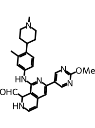 COc1ncc(-c2cc3c(c(Nc4ccc(C5CCN(C)CC5)c(C)c4)n2)C(C=O)NC=C3)cn1